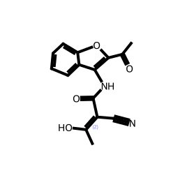 CC(=O)c1oc2ccccc2c1NC(=O)/C(C#N)=C(/C)O